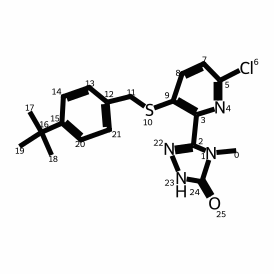 Cn1c(-c2nc(Cl)ccc2SCc2ccc(C(C)(C)C)cc2)n[nH]c1=O